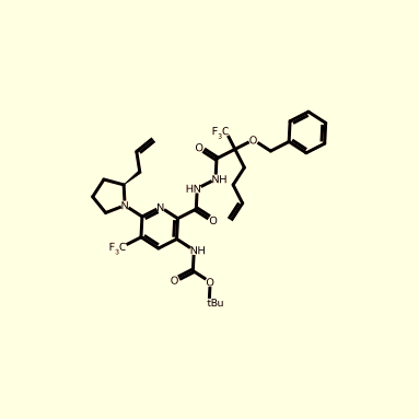 C=CCCC(OCc1ccccc1)(C(=O)NNC(=O)c1nc(N2CCC[C@H]2CC=C)c(C(F)(F)F)cc1NC(=O)OC(C)(C)C)C(F)(F)F